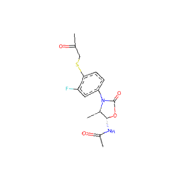 CC(=O)CSc1ccc(N2C(=O)O[C@H](NC(C)=O)C2C)cc1F